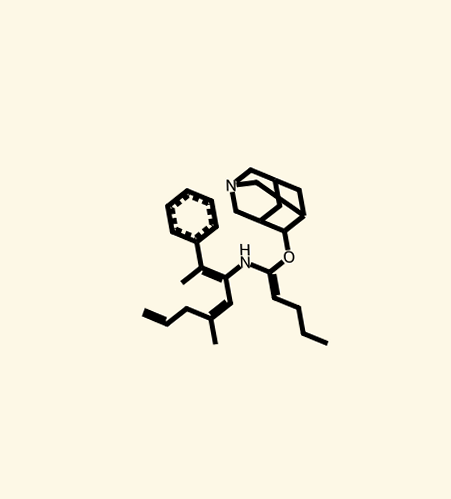 C=CC/C(C)=C\C(N/C(=C/CCC)OC1C2CC3CC1CN(C3)C2)=C(/C)c1ccccc1